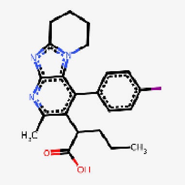 CCCC(C(=O)O)c1c(C)nc2nc3n(c2c1-c1ccc(I)cc1)CCCC3